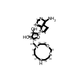 Nc1ncnc2c1ccn2[C@@H]1O[C@H](CN2CCCNCCCCOCC2)[C@@H](O)[C@H]1O